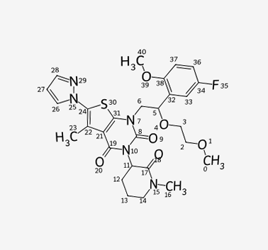 COCCOC(Cn1c(=O)n(C2CCCN(C)C2=O)c(=O)c2c(C)c(-n3cccn3)sc21)c1cc(F)ccc1OC